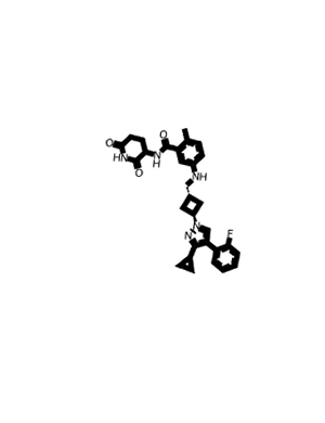 Cc1ccc(NC[C@H]2C[C@H](n3cc(-c4ccccc4F)c(C4CC4)n3)C2)cc1C(=O)NC1CCC(=O)NC1=O